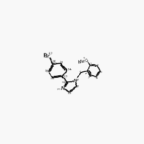 COc1ccccc1Cn1ccnc1-c1ccc(Br)cc1